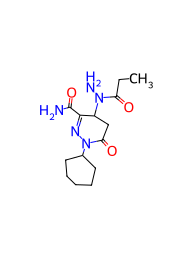 CCC(=O)N(N)C1CC(=O)N(C2CCCCC2)N=C1C(N)=O